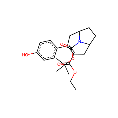 CCOC(=O)C1=C(c2ccc(O)cc2)CC2CCC(C1)N2C(=O)OC(C)(C)C